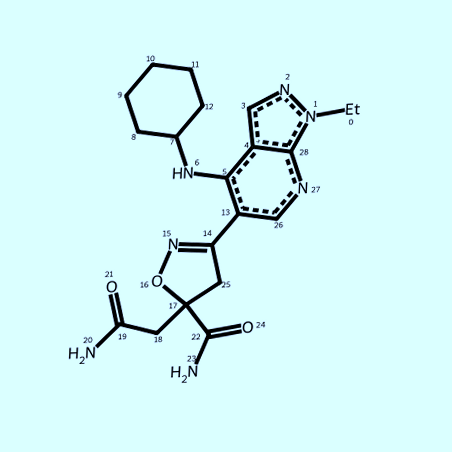 CCn1ncc2c(NC3CCCCC3)c(C3=NOC(CC(N)=O)(C(N)=O)C3)cnc21